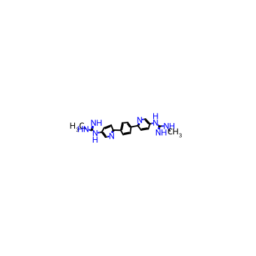 CNC(=N)Nc1ccc(-c2ccc(-c3ccc(NC(=N)NC)cn3)cc2)nc1